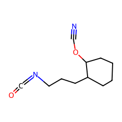 N#COC1CCCCC1CCCN=C=O